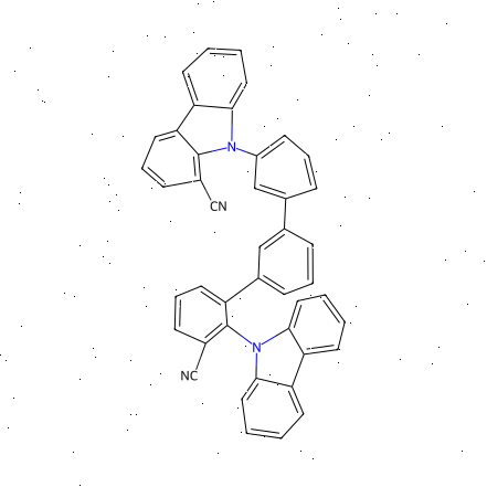 N#Cc1cccc(-c2cccc(-c3cccc(-n4c5ccccc5c5cccc(C#N)c54)c3)c2)c1-n1c2ccccc2c2ccccc21